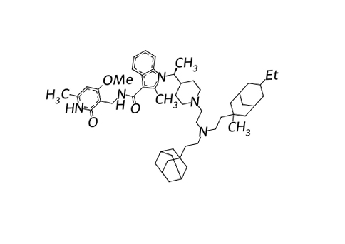 CCC1CC2CC(C1)CC(C)(CCN(CCN1CCC([C@H](C)n3c(C)c(C(=O)NCc4c(OC)cc(C)[nH]c4=O)c4ccccc43)CC1)CCC13CC4CC(CC(C4)C1)C3)C2